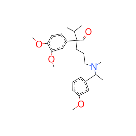 COc1cccc(C(C)N(C)CCCC(C=O)(c2ccc(OC)c(OC)c2)C(C)C)c1